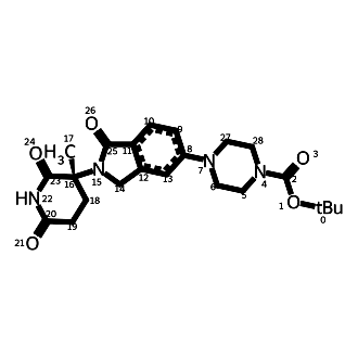 CC(C)(C)OC(=O)N1CCN(c2ccc3c(c2)CN([C@]2(C)CCC(=O)NC2=O)C3=O)CC1